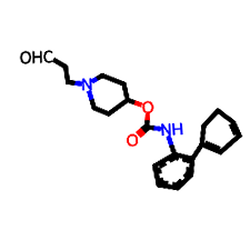 O=CCCN1CCC(OC(=O)Nc2ccccc2C2=CC=CCC2)CC1